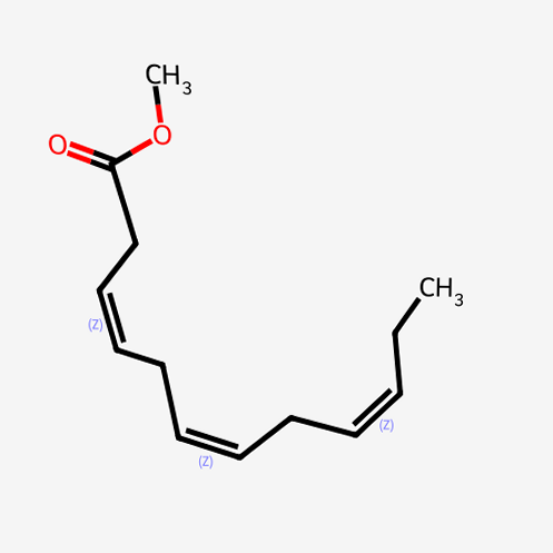 CC/C=C\C/C=C\C/C=C\CC(=O)OC